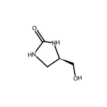 O=C1NC[C@H](CO)N1